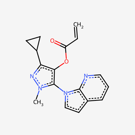 C=CC(=O)Oc1c(C2CC2)nn(C)c1-n1ccc2cccnc21